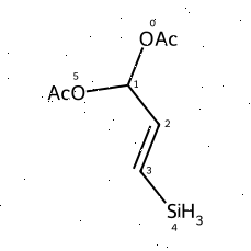 CC(=O)OC(C=C[SiH3])OC(C)=O